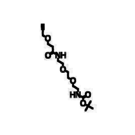 C#CCOCCC(=O)NCCOCCOCCNC(=O)OC(C)(C)C